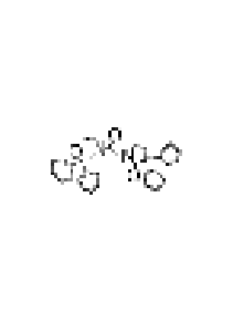 O=C(CN1CCC(c2ccccc2)(c2ccccc2)C1=O)N1CCOC(c2ccccc2)(c2ccccc2)C1